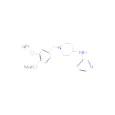 CCCOc1cc(CN2CCC(Nc3cccnc3)CC2)ccc1OC